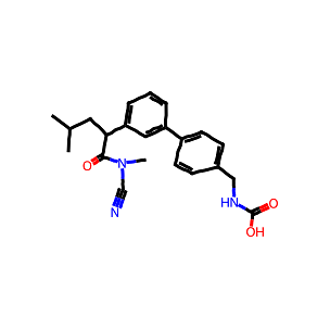 CC(C)CC(C(=O)N(C)C#N)c1cccc(-c2ccc(CNC(=O)O)cc2)c1